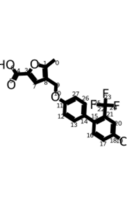 Cc1oc(C(=O)O)cc1COc1ccc(-c2ccc(Cl)cc2C(F)(F)F)cc1